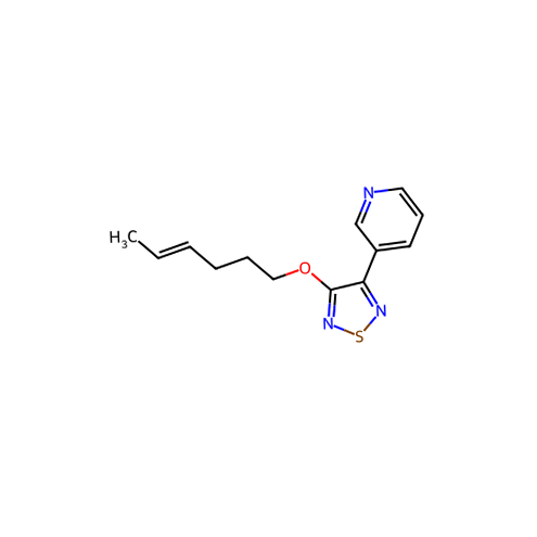 CC=CCCCOc1nsnc1-c1cccnc1